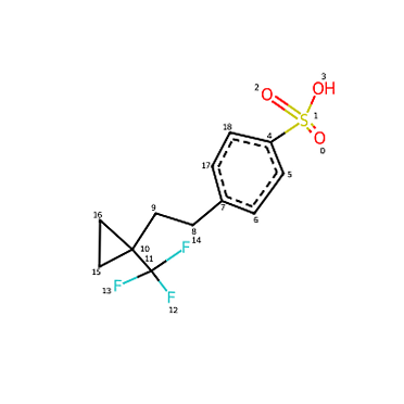 O=S(=O)(O)c1ccc(CCC2(C(F)(F)F)CC2)cc1